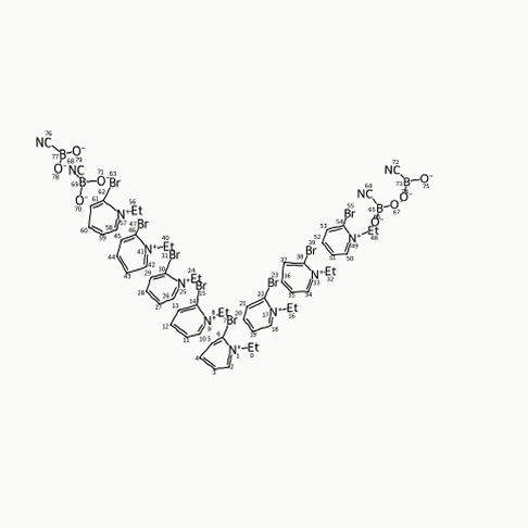 CC[n+]1ccccc1Br.CC[n+]1ccccc1Br.CC[n+]1ccccc1Br.CC[n+]1ccccc1Br.CC[n+]1ccccc1Br.CC[n+]1ccccc1Br.CC[n+]1ccccc1Br.CC[n+]1ccccc1Br.N#CB([O-])[O-].N#CB([O-])[O-].N#CB([O-])[O-].N#CB([O-])[O-]